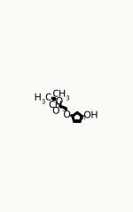 CC(C)(C)OC(=O)COC1C=C[C@@H](O)C1